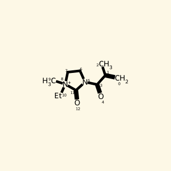 C=C(C)C(=O)N1CC[N+](C)(CC)C1=O